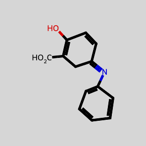 O=C(O)C1=C(O)C=CC(=Nc2ccccc2)C1